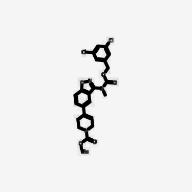 CN(C(=O)OCc1cc(Cl)cc(Cl)c1)c1noc2ccc(C3=CCN(C(=O)OC(C)(C)C)CC3)cc12